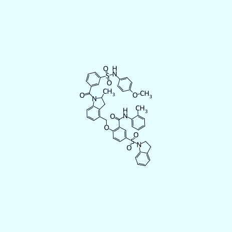 COc1ccc(NS(=O)(=O)c2cccc(C(=O)N3c4cccc(COc5ccc(S(=O)(=O)N6CCc7ccccc76)cc5C(=O)Nc5ccccc5C)c4CC3C)c2)cc1